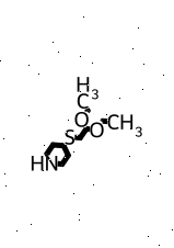 CCOC(CSC1CCNCC1)OCC